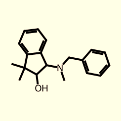 CN(Cc1ccccc1)C1c2ccccc2C(C)(C)C1O